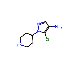 Nc1cnn(C2CCNCC2)c1Cl